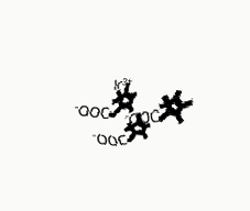 CC1=C(C)C(C)(C)C(CC(=O)[O-])=C1C.CC1=C(C)C(C)(C)C(CC(=O)[O-])=C1C.CC1=C(C)C(C)(C)C(CC(=O)[O-])=C1C.[Ir+3]